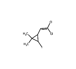 CC1(C)C(I)C1C=C(Cl)Cl